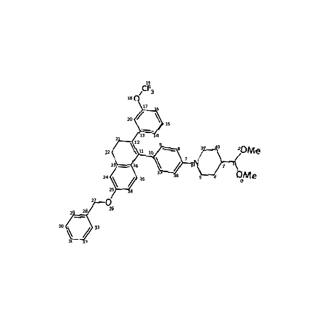 COC(OC)C1CCN(c2ccc(C3=C(c4cccc(OC(F)(F)F)c4)CCc4cc(OCc5ccccc5)ccc43)cc2)CC1